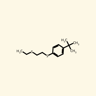 CCSCCSc1ccc(C(C)(C)C)cc1